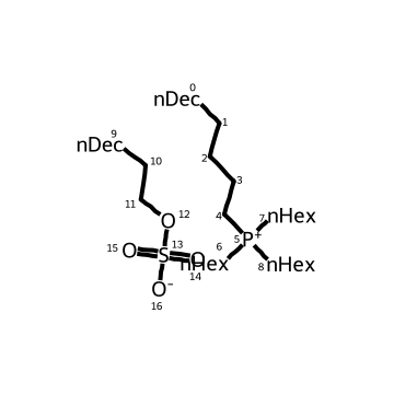 CCCCCCCCCCCCCC[P+](CCCCCC)(CCCCCC)CCCCCC.CCCCCCCCCCCCOS(=O)(=O)[O-]